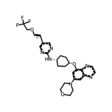 FC(F)(F)CO/C=C/c1cnc(N[C@H]2CC[C@@H](Oc3cc(N4CCOCC4)cc4nccnc34)CC2)nc1